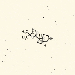 CC(C)(C)OC(=O)N1CC[C@@H]2CNCC[C@@H]21